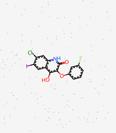 O=c1[nH]c2cc(Cl)c(I)cc2c(O)c1Oc1cccc(F)c1